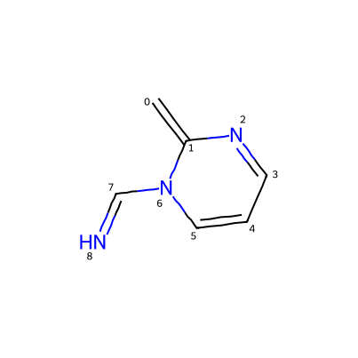 C=C1N=CC=CN1C=N